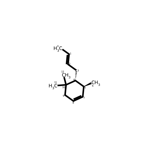 C/C=C/C[C@@H]1[C@@H](C)C=CCC1(C)C